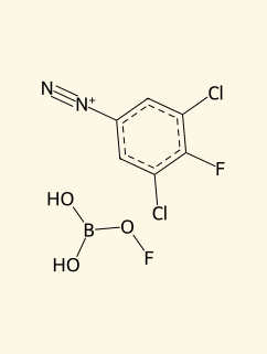 N#[N+]c1cc(Cl)c(F)c(Cl)c1.OB(O)OF